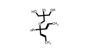 CC=CC(C=CC)(CCC)OCC(CC)(CO)CO